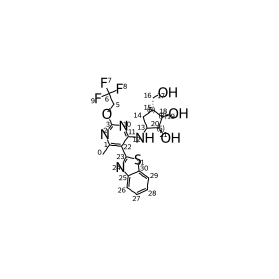 Cc1nc(OCC(F)(F)F)nc(NC2C[C@H](CO)[C@@H](O)[C@H]2O)c1-c1nc2ccccc2s1